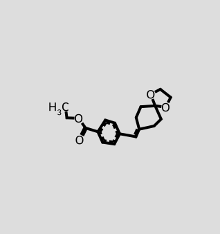 CCOC(=O)c1ccc(C=C2CCC3(CC2)OCCO3)cc1